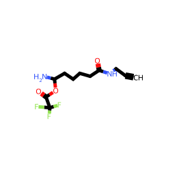 C#CCNC(=O)CCCCC(N)OC(=O)C(F)(F)F